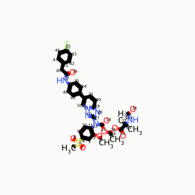 COc1cc(S(C)(=O)=O)ccc1N(C(=O)OC(C)OC(=O)C(C)(C)NC=O)c1nc2ccc(-c3ccc(NC(=O)Cc4ccc(F)cc4)cc3)cn2n1